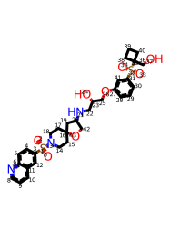 O=S(=O)(c1ccc2ncccc2c1)N1CCC2(CC1)CC(NCC(O)COc1cccc(S(=O)(=O)C3(CO)CCC3)c1)CO2